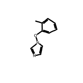 Cc1ccccc1On1ccnc1